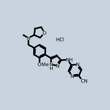 COc1cc(CN(C)C2CCOC2)ccc1-c1cc(Nc2cnc(C#N)cn2)n[nH]1.Cl